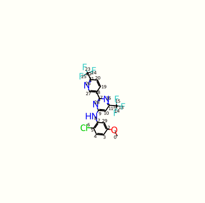 COc1ccc(Cl)c(Nc2cc(C(F)(F)F)nc(-c3ccc(C(F)(F)F)nc3)n2)c1